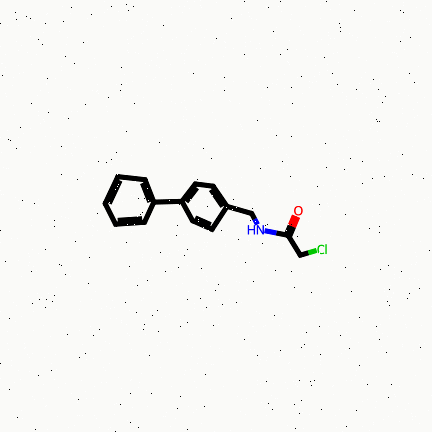 O=C(CCl)NCc1ccc(-c2ccccc2)cc1